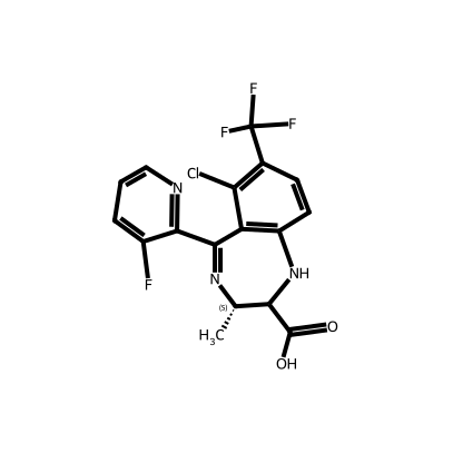 C[C@@H]1N=C(c2ncccc2F)c2c(ccc(C(F)(F)F)c2Cl)NC1C(=O)O